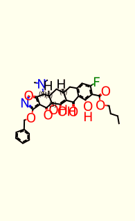 CCCCOC(=O)c1c(F)cc2c(c1O)C(=O)C1=C(O)[C@]3(O)C(=O)c4c(OCc5ccccc5)noc4[C@@H](N(C)C)[C@@H]3C[C@@H]1C2